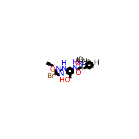 C#CCOc1nc(Nc2cc(CO)cc(NC(=O)[C@@H](Cc3ccccc3)N(OC(C)(C)C)C(=O)O)c2)ncc1Br